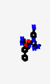 Cn1cnc(S(=O)(=O)N(CCN(Cc2cncn2C)c2ccc(C#N)cc2)Cc2cccc(-c3ccccc3)c2)c1